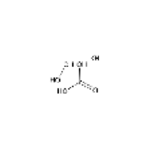 O=C(O)O.OO.[KH]